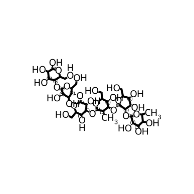 CC1O[C@@H](O[C@H]2C(O)[C@@H](O)C(CO)O[C@H]2OC2[C@@H](O)C(CO)O[C@@H](O[C@@H]3C(O)[C@@H](O[C@H]4C(CO)O[C@@H](O[C@@H]5C(CO)O[C@@H](O)C(O)[C@H]5O)[C@@H](O)C4O)OC(CO)[C@@H]3O)[C@H]2C)[C@@H](O)[C@@H](O)C1O